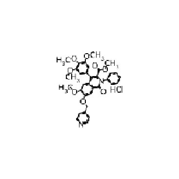 COC(=O)c1c(-c2cc(OC)c(OC)c(OC)c2)c2cc(OC)c(OCc3ccncc3)cc2c(=O)n1-c1ccccc1.Cl